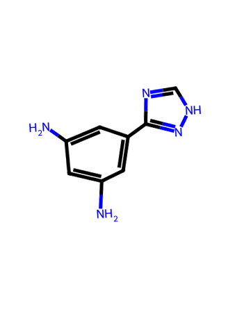 Nc1cc(N)cc(-c2nc[nH]n2)c1